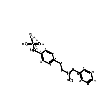 CCN(CCc1ccc(NS(C)(=O)=O)cc1)Cc1ccccc1